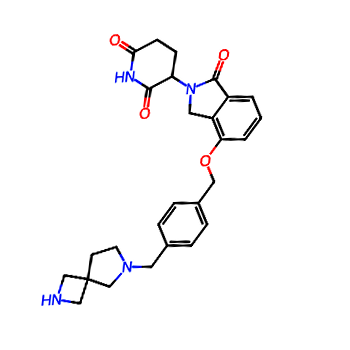 O=C1CCC(N2Cc3c(OCc4ccc(CN5CCC6(CNC6)C5)cc4)cccc3C2=O)C(=O)N1